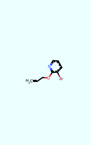 C=CCOc1ncccc1Br